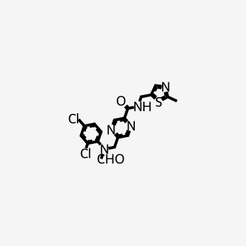 Cc1ncc(CNC(=O)c2cnc(CN(C=O)c3ccc(Cl)cc3Cl)cn2)s1